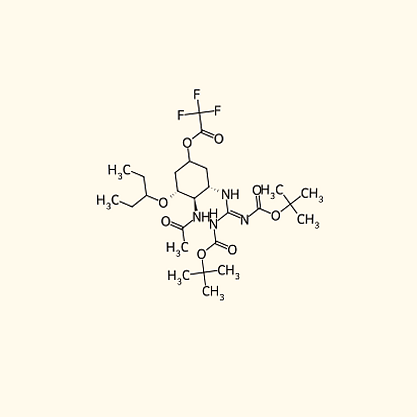 CCC(CC)O[C@@H]1CC(OC(=O)C(F)(F)F)C[C@H](N/C(=N\C(=O)OC(C)(C)C)NC(=O)OC(C)(C)C)[C@H]1NC(C)=O